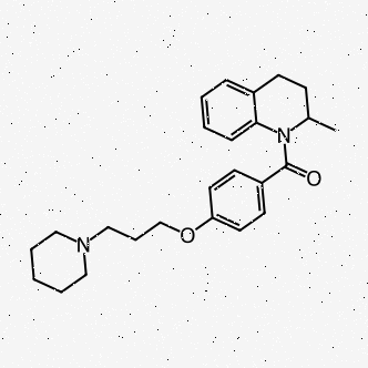 CC1CCc2ccccc2N1C(=O)c1ccc(OCCCN2CCCCC2)cc1